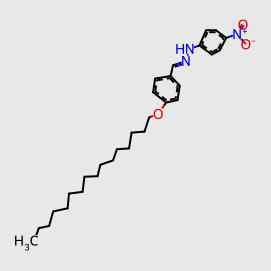 CCCCCCCCCCCCCCCCOc1ccc(C=NNc2ccc([N+](=O)[O-])cc2)cc1